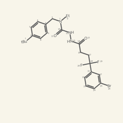 CCN(Cc1ccc(C(C)(C)C)cc1)C(=O)NNC(=O)CCC(F)(F)c1cccc(Br)c1